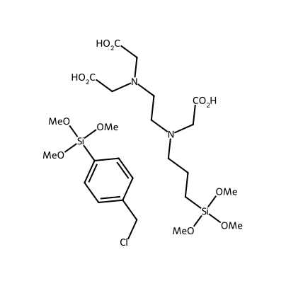 CO[Si](CCCN(CCN(CC(=O)O)CC(=O)O)CC(=O)O)(OC)OC.CO[Si](OC)(OC)c1ccc(CCl)cc1